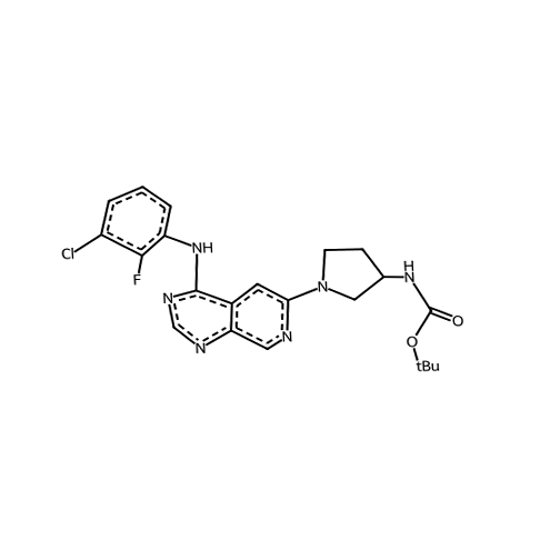 CC(C)(C)OC(=O)NC1CCN(c2cc3c(Nc4cccc(Cl)c4F)ncnc3cn2)C1